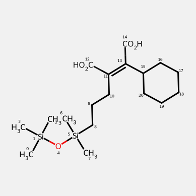 C[Si](C)(C)O[Si](C)(C)CCCC(C(=O)O)=C(C(=O)O)C1CCCCC1